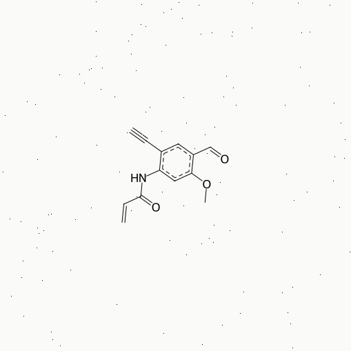 C#Cc1cc(C=O)c(OC)cc1NC(=O)C=C